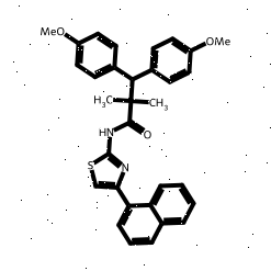 COc1ccc(C(c2ccc(OC)cc2)C(C)(C)C(=O)Nc2nc(-c3cccc4ccccc34)cs2)cc1